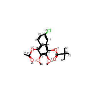 COc1c(OC)c(OC(=O)C(C)(C)C)c2cc(Cl)ccc2c1OC(C)=O